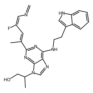 C=N/C=C(F)\C=C(/C)c1nc(NCCc2c[nH]c3ccccc23)c2ncn(C(C)CO)c2n1